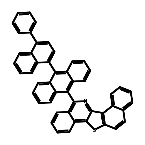 c1ccc(-c2ccc(-c3c4ccccc4c(-c4nc5c(sc6ccc7ccccc7c65)c5ccccc45)c4ccccc34)c3ccccc23)cc1